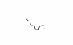 O=COCc1ccc(CCl)o1